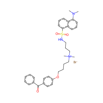 CN(C)c1cccc2c(S(=O)(=O)NCCC[N+](C)(C)CCCCOc3ccc(C(=O)c4ccccc4)cc3)cccc12.[Br-]